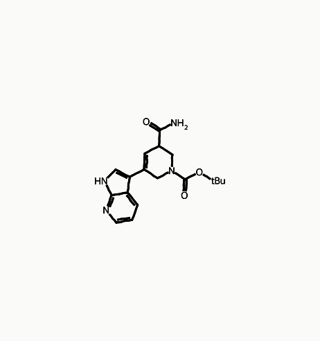 CC(C)(C)OC(=O)N1CC(c2c[nH]c3ncccc23)=CC(C(N)=O)C1